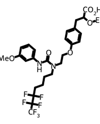 CCOC(Cc1ccc(OCCN(CCCCC(F)(F)C(F)(F)C(F)(F)F)C(=O)Nc2cccc(OC)c2)cc1)C(=O)O